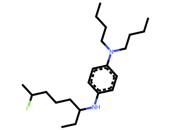 CCCCN(CCCC)c1ccc(NC(CC)CCCC(C)F)cc1